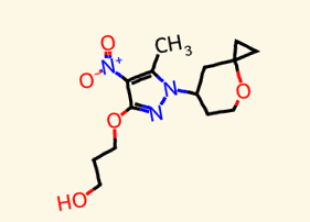 Cc1c([N+](=O)[O-])c(OCCCO)nn1C1CCOC2(CC2)C1